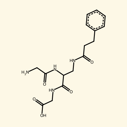 NCC(=O)NC(CNC(=O)CCc1ccccc1)C(=O)NCC(=O)O